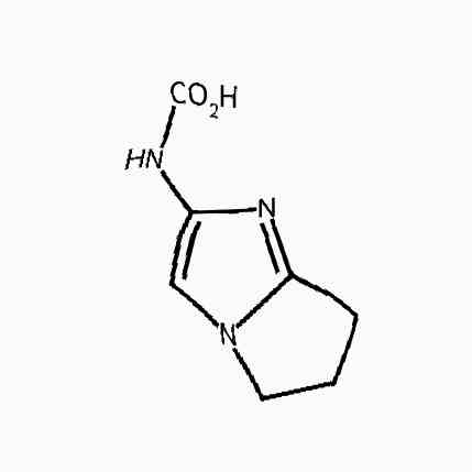 O=C(O)Nc1cn2c(n1)CCC2